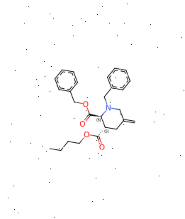 C=C1C[C@H](C(=O)OCCCC)[C@@H](C(=O)OCc2ccccc2)N(Cc2ccccc2)C1